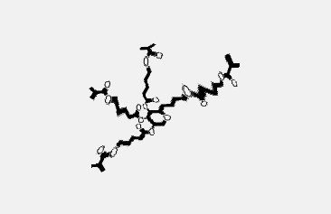 C=C(C)C(=O)OCCCCC(=O)OCCCCC1OC[C@@H](OC(=O)CCCCOC(=O)C(=C)C)[C@H](OC(=O)CCCCOC(=O)C(=C)C)[C@H]1OC(=O)CCCCOC(=O)C(=C)C